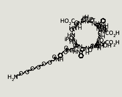 CC(=O)NC(O)(CC(=O)O)C(=O)N[C@H]1CSSC[C@@H](C(=O)N[C@H](C(=O)O)[C@@H](C)O)NC(=O)[C@H](Cc2c[nH]c3ccccc23)NC(=O)[C@H](C(C)C)NC(=O)[C@H](CC(C)C)NC(=O)[C@H](CCC(=O)O)NC(=O)CNC(=O)[C@H](CC(C)C)NC(=O)[C@H](CCCCNC(=O)OCc2ccc(NC(=O)CCOCCOCCOCCOCCOCCOCCN)cc2)NC(=O)[C@H](Cc2c[nH]c3ccccc23)NC(=O)[C@H](C)NC1=O